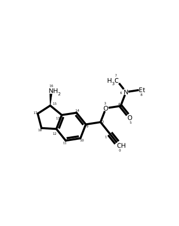 C#CC(OC(=O)N(C)CC)c1ccc2c(c1)[C@H](N)CC2